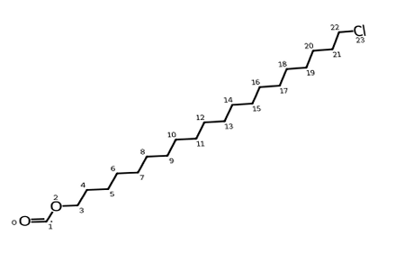 O=[C]OCCCCCCCCCCCCCCCCCCCCCl